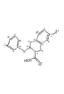 O=C(O)C1Cc2cc(F)ccc2CN1Cc1ccccc1